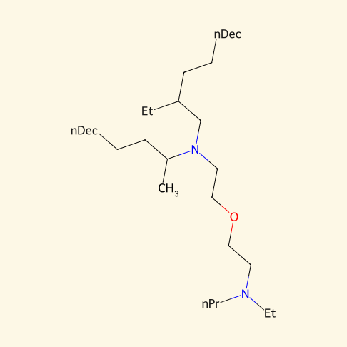 CCCCCCCCCCCCC(CC)CN(CCOCCN(CC)CCC)C(C)CCCCCCCCCCCC